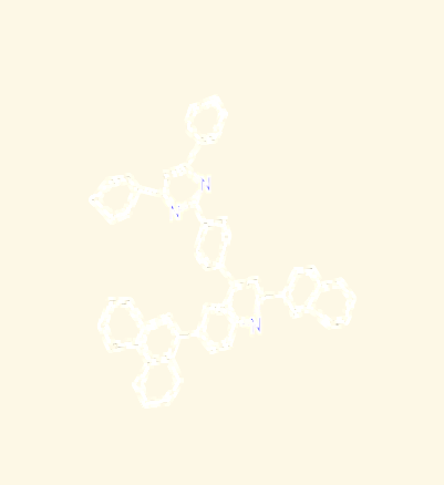 c1ccc(-c2cc(-c3ccccc3)nc(-c3ccc(-c4cc(-c5ccc6ccccc6c5)nc5ccc(-c6cc7ccccc7c7ccccc67)cc45)cc3)n2)cc1